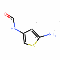 Nc1cc(NC=O)[c]s1